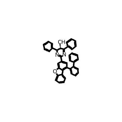 C[C@H]1C(c2ccccc2)=NC(c2cc(-c3ccccc3-c3ccccc3)c3c(c2)oc2ccccc23)=NC1c1ccccc1